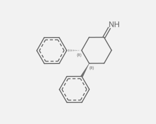 N=C1CC[C@@H](c2ccccc2)[C@H](c2ccccc2)C1